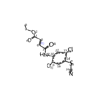 CCOC(=O)/C=C/C(=O)Nc1cc(Cl)c(SC#N)cc1Cl